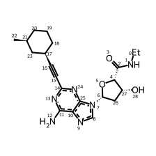 CCNC(=O)[C@H]1O[C@@H](n2cnc3c(N)nc(C#C[C@@H]4CCC[C@H](C)C4)nc32)C[C@H]1O